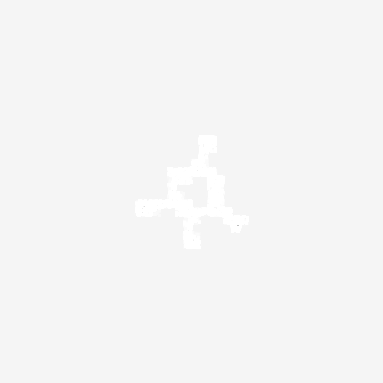 CC(C)c1c(Cl)cc(O)cc1Br